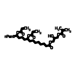 C=CC(=O)OC(CCCCC)CCCC(CCCCCCCC(=O)OCC(O)COC(=O)C(=C)C)OC(=O)C=C